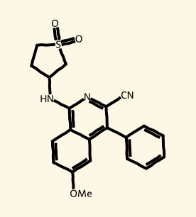 COc1ccc2c(NC3CCS(=O)(=O)C3)nc(C#N)c(-c3ccccc3)c2c1